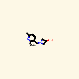 COc1nc(C)ccc1CN1CC(O)C1